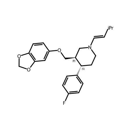 CC(C)C=CN1CC[C@H](c2ccc(F)cc2)[C@@H](COc2ccc3c(c2)OCO3)C1